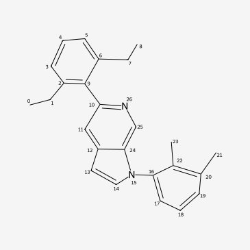 CCc1cccc(CC)c1-c1cc2ccn(-c3cccc(C)c3C)c2cn1